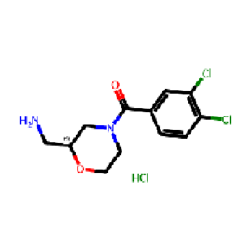 Cl.NC[C@H]1CN(C(=O)c2ccc(Cl)c(Cl)c2)CCO1